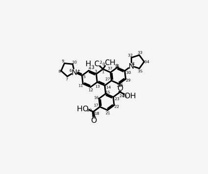 CC1(C)C2=CC(=[N+]3CCCC3)C=CC2=C(c2cc(C(=O)O)ccc2C(=O)O)c2ccc(N3CCCC3)cc21